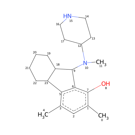 Cc1cc(C)c2c(c1O)C(N(C)C1CCNCC1)C1CCCCC21